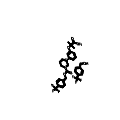 CC(C)(Oc1cccc([C@@H]2CCCN(C(=O)OCc3ccc(C(F)(F)F)cc3)C2)c1)C(=O)O.OCc1ccc(C(F)(F)F)cc1